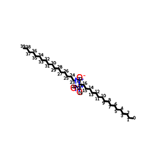 CCCCCCCCCCCCCCCCCC([N+](=O)[O-])=[N+]([O-])CCCCCCCCCCCCCCCCC